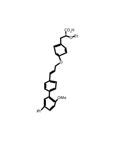 CCO[C@@H](Cc1ccc(OCC=Cc2ccc(-c3cc(C(C)C)ccc3OC)cc2)cc1)C(=O)O